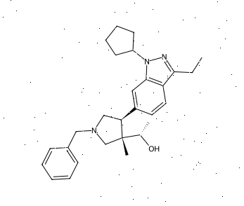 CCc1nn(C2CCCC2)c2cc([C@@H]3CN(Cc4ccccc4)C[C@@]3(C)[C@H](C)O)ccc12